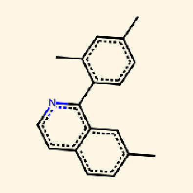 Cc1ccc(-c2nccc3ccc(C)cc23)c(C)c1